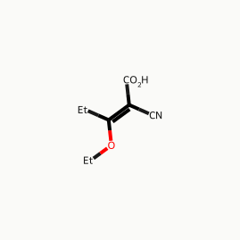 CCO/C(CC)=C(\C#N)C(=O)O